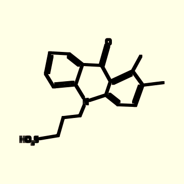 Cc1ccc2c(c1C)c(=O)c1ccccc1n2CCCS(=O)(=O)O